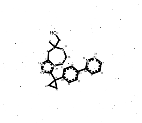 CC1(CO)Cc2nnc(C3(c4ccc(-c5cccnn5)cc4)CC3)n2CCS1